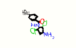 CC(C)(C)c1ccc(C(=O)Nc2c(Cl)cc(N)cc2Cl)cc1